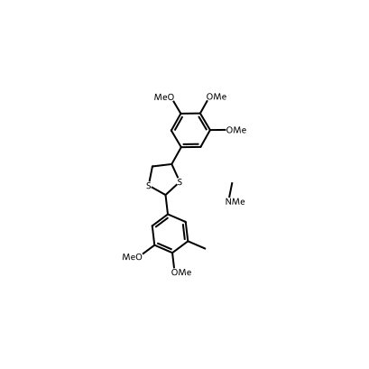 CNC.COc1cc(C2SCC(c3cc(OC)c(OC)c(OC)c3)S2)cc(C)c1OC